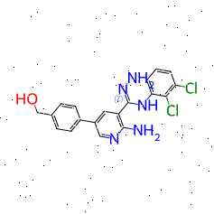 N/N=C(\Nc1cccc(Cl)c1Cl)c1cc(-c2ccc(CO)cc2)cnc1N